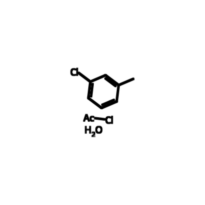 CC(=O)Cl.Cc1cccc(Cl)c1.O